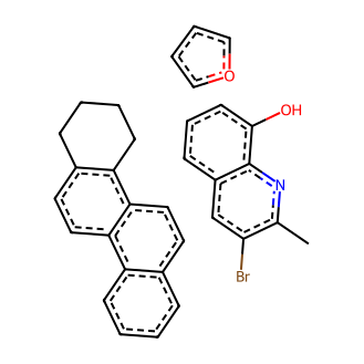 Cc1nc2c(O)cccc2cc1Br.c1ccc2c(c1)ccc1c3c(ccc12)CCCC3.c1ccoc1